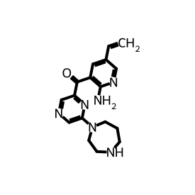 C=Cc1cnc(N)c(C(=O)c2cncc(N3CCCNCC3)n2)c1